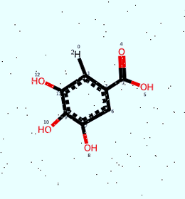 [2H]c1c(C(=O)O)cc(O)c(O)c1O